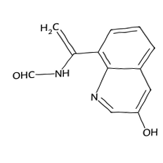 C=C(NC=O)c1cccc2cc(O)cnc12